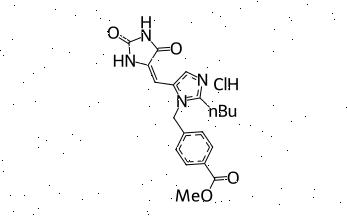 CCCCc1ncc(C=C2NC(=O)NC2=O)n1Cc1ccc(C(=O)OC)cc1.Cl